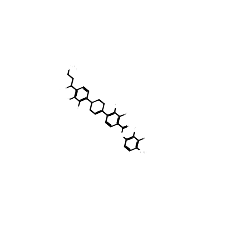 CCCC(O)c1ccc(C2CC=C(c3ccc(C(=O)Oc4ccc(O)c(F)c4F)c(F)c3F)CC2)c(F)c1F